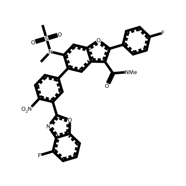 CNC(=O)c1c(-c2ccc(F)cc2)oc2cc(N(C)S(C)(=O)=O)c(-c3ccc([N+](=O)[O-])c(-c4nc5c(F)cccc5o4)c3)cc12